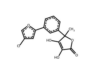 CC1(c2cccc(-c3cc(Cl)co3)c2)OC(=O)C(O)=C1O